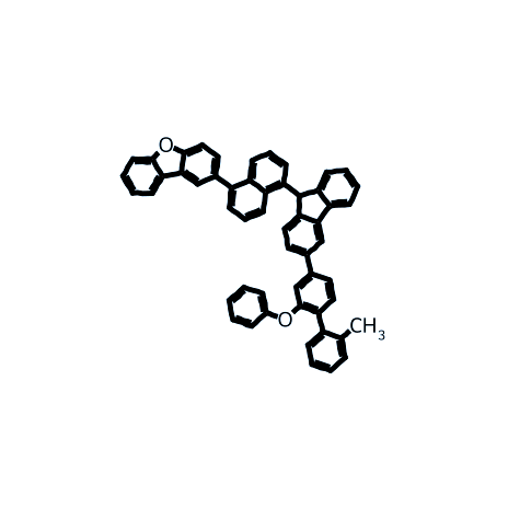 Cc1ccccc1-c1ccc(-c2ccc3c(c2)-c2ccccc2C3c2cccc3c(-c4ccc5oc6ccccc6c5c4)cccc23)cc1Oc1ccccc1